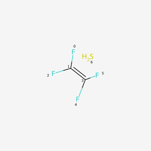 FC(F)=C(F)F.S